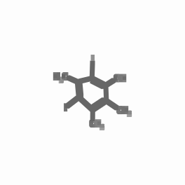 Cc1c(C)c(I)c(C)c(I)c1O